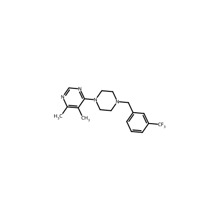 Cc1ncnc(N2CCN(Cc3cccc(C(F)(F)F)c3)CC2)c1C